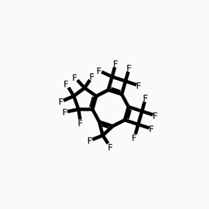 FC1(F)C2=C1C1=C(C3=C(C4=C2C(F)(F)C4(F)F)C(F)(F)C3(F)F)C(F)(F)C(F)(F)C1(F)F